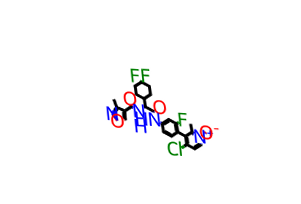 Cc1nocc1C(=O)N[C@H](C(=O)Nc1ccc(-c2c(Cl)cc[n+]([O-])c2C)c(F)c1)C1CCC(F)(F)CC1